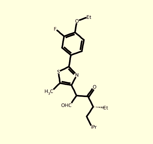 CCOc1ccc(-c2nc(C(C=O)C(=O)[C@H](CC)CC(C)C)c(C)s2)cc1F